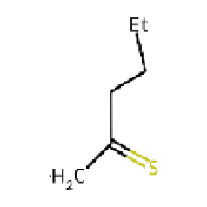 [CH2]C(=S)CCCC